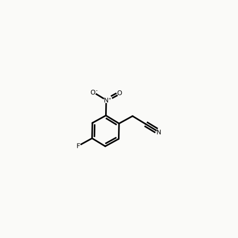 N#CCc1ccc(F)cc1[N+](=O)[O-]